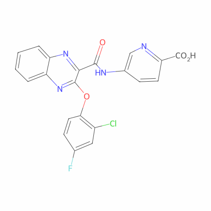 O=C(O)c1ccc(NC(=O)c2nc3ccccc3nc2Oc2ccc(F)cc2Cl)cn1